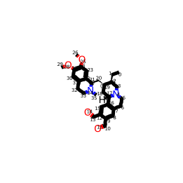 CC[C@H]1CN2CCc3cc(C=O)c(C=O)cc3[C@@H]2C[C@@H]1C[C@@H]1c2cc(OC)c(OC)cc2CCN1C